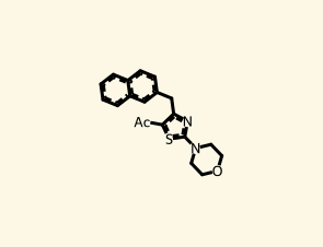 CC(=O)c1sc(N2CCOCC2)nc1Cc1ccc2ccccc2c1